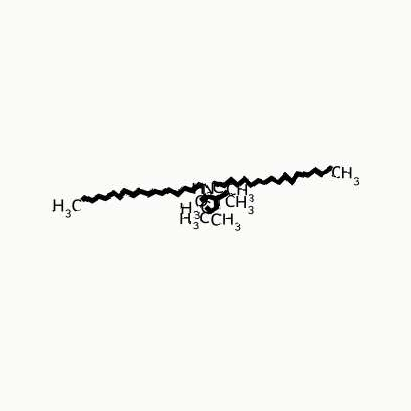 CCCCCCCCCCCCCCCCCCN(CCCCCCCCCCCCCCCCCC)C(=O)C(CC(C)(C)C)C(C)(C)C